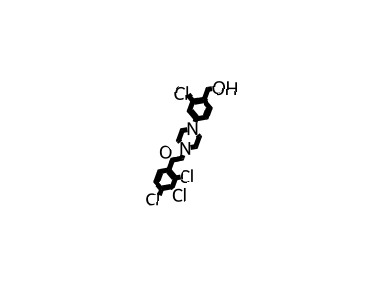 O=C(CN1CCN(c2ccc(CO)c(Cl)c2)CC1)c1ccc(Cl)c(Cl)c1Cl